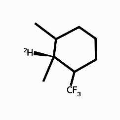 [2H][C@@]1(C)C(C)CCCC1C(F)(F)F